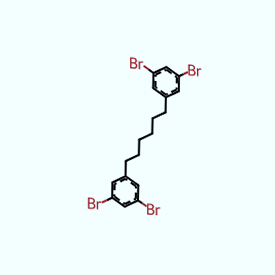 Brc1cc(Br)cc(CCCCCCc2cc(Br)cc(Br)c2)c1